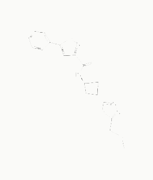 CS[C@H](C)c1nnc([C@H]2C[C@H](NC(=O)c3cc(-c4ccccc4)on3)C2)o1